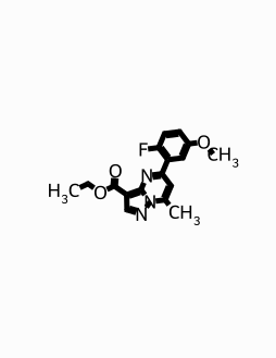 CCOC(=O)c1cnn2c(C)cc(-c3cc(OC)ccc3F)nc12